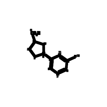 O=C(O)C1CCN(c2cncc(F)n2)C1